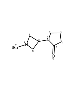 CC(C)(C)N1CC(N2CCCC2=O)C1